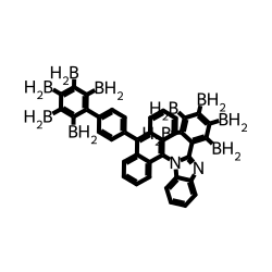 Bc1c(B)c(B)c(-c2ccc(-c3c4ccccc4c(-n4c(-c5c(B)c(B)c(B)c(B)c5B)nc5ccccc54)c4ccccc34)cc2)c(B)c1B